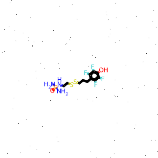 NP(N)(=O)NCCSSCCCc1c(F)c(F)c(O)c(F)c1F